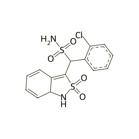 NS(=O)(=O)C(C1=C2C=CC=CC2NS1(=O)=O)c1ccccc1Cl